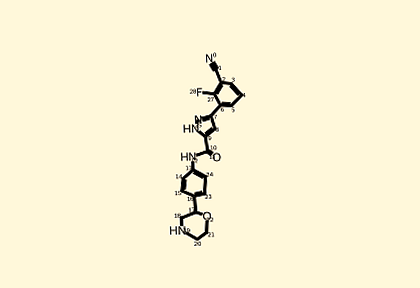 N#Cc1cccc(-c2cc(C(=O)Nc3ccc(C4CNCCO4)cc3)[nH]n2)c1F